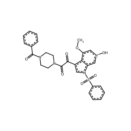 COc1c[n+](O)cc2c1c(C(=O)C(=O)N1CCN(C(=O)c3ccccc3)CC1)cn2S(=O)(=O)c1ccccc1